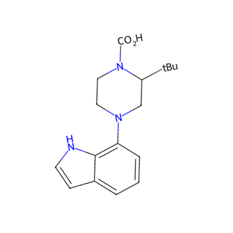 CC(C)(C)C1CN(c2cccc3cc[nH]c23)CCN1C(=O)O